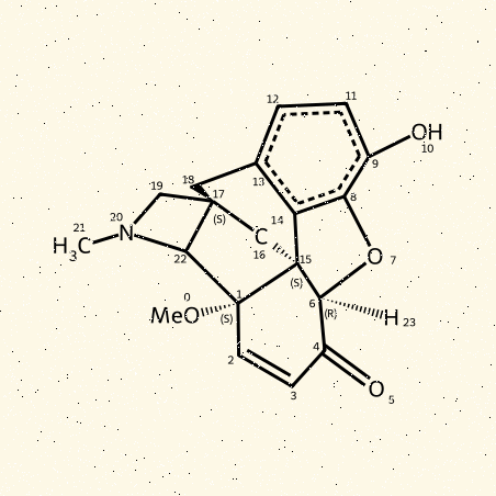 CO[C@@]12C=CC(=O)[C@@H]3Oc4c(O)ccc5c4[C@@]31C[C@@]1(C5)CN(C)C12